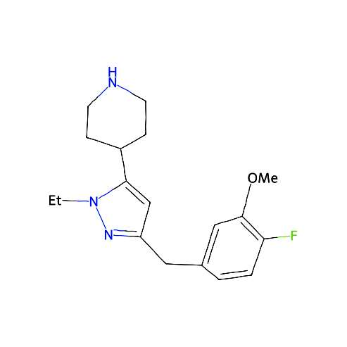 CCn1nc(Cc2ccc(F)c(OC)c2)cc1C1CCNCC1